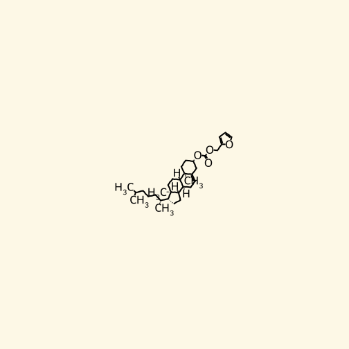 CC(C)CCC[C@@H](C)[C@H]1CC[C@H]2[C@@H]3CC=C4C[C@@H](OC(=O)OCc5ccco5)CC[C@]4(C)[C@H]3CC[C@]12C